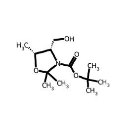 C[C@H]1OC(C)(C)N(C(=O)OC(C)(C)C)[C@H]1CO